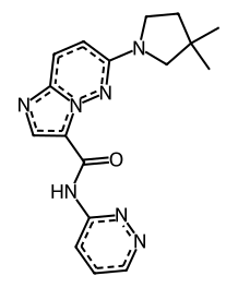 CC1(C)CCN(c2ccc3ncc(C(=O)Nc4cccnn4)n3n2)C1